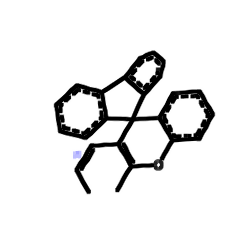 C/C=C\C1=C(C)Oc2ccccc2C12c1ccccc1-c1ccccc12